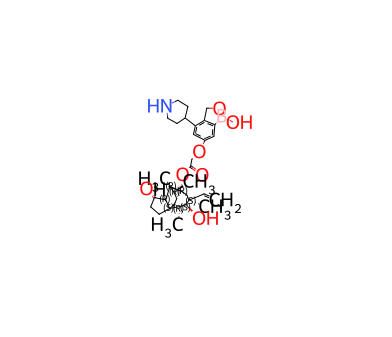 C=C[C@]1(C)C[C@@H](OC(=O)COc2cc3c(c(C4CCNCC4)c2)COB3O)[C@]2(C)[C@H](C)CC[C@]3(CCC(=O)[C@H]32)[C@@H](C)[C@@H]1O